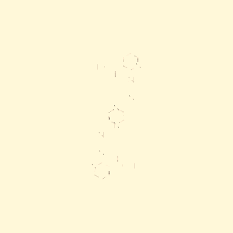 CC(C)c1nc(CN2CCN(c3ncccc3C(=O)O)CC2)c(C(C)C)nc1CN1CCN(c2ncccc2C(=O)O)CC1